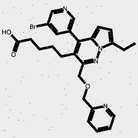 CCc1ccc2c(-c3cncc(Br)c3)c(CCCCC(=O)O)c(COCc3ccccn3)nn12